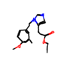 CCOC(=O)Cc1cncn1Cc1ccc(OC)c(C)c1